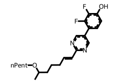 CCCCCOC(C)CCC/C=C/c1ncc(-c2ccc(O)c(F)c2F)cn1